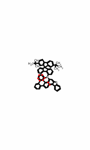 CC(C)(C)c1ccc2c(c1)C1(c3cc(C(C)(C)C)ccc3-2)c2ccccc2-c2c(N(c3ccc4c(c3)sc3ccccc34)c3ccccc3-c3ccccc3-c3ccccc3-c3ccccc3)cccc21